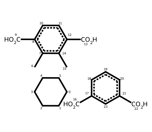 C1CCCCC1.Cc1c(C(=O)O)ccc(C(=O)O)c1C.O=C(O)c1cccc(C(=O)O)c1